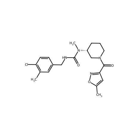 Cc1cc(C(=O)N2CCC[C@@H](N(C)C(=O)NCc3ccc(Cl)c(C)c3)C2)no1